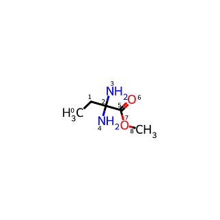 CCC(N)(N)C(=O)OC